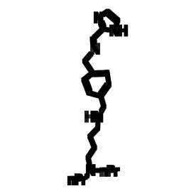 CCCN(CCC)CCCCNCc1ccc(CN=Cc2ncc[nH]2)cc1